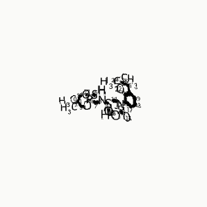 CC1(C)COP(=S)(CN[S+]([O-])CN(C(=O)O)c2cccc3c2OC(C)(C)C3)OC1